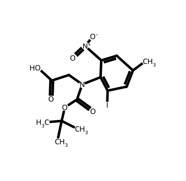 Cc1cc(I)c(N(CC(=O)O)C(=O)OC(C)(C)C)c([N+](=O)[O-])c1